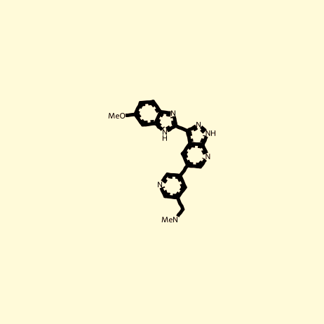 CNCc1cncc(-c2cnc3[nH]nc(-c4nc5ccc(OC)cc5[nH]4)c3c2)c1